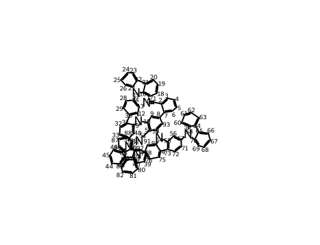 N#Cc1ccccc1-c1cc(-n2c3cc(-n4c5ccccc5c5ccccc54)ccc3c3ccc(-n4c5ccccc5c5ccccc54)cc32)c(C#N)c(-n2c3cc(-n4c5ccccc5c5ccccc54)ccc3c3ccc(-n4c5ccccc5c5ccccc54)cc32)c1